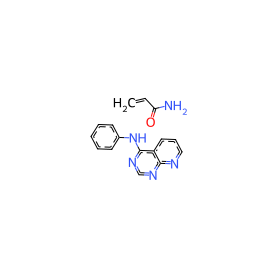 C=CC(N)=O.c1ccc(Nc2ncnc3ncccc23)cc1